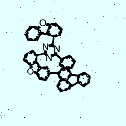 c1ccc(-c2nc(-c3cccc4oc5ccccc5c34)nc(-c3cccc4oc5ccc(-c6ccc7c8c(cccc68)-c6ccccc6-7)cc5c34)n2)cc1